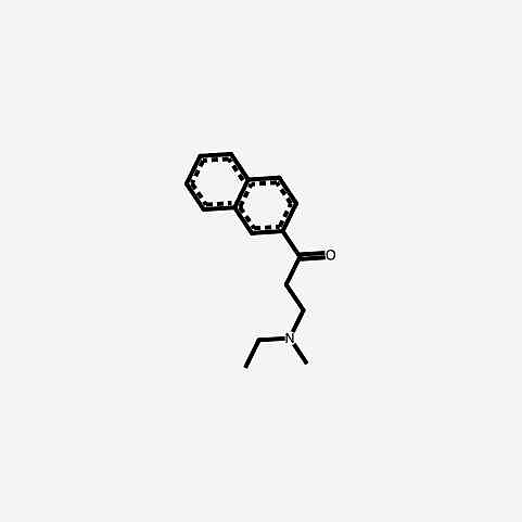 CCN(C)CCC(=O)c1ccc2ccccc2c1